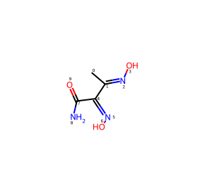 CC(=N\O)/C(=N/O)C(N)=O